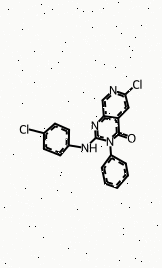 O=c1c2cc(Cl)ncc2nc(Nc2ccc(Cl)cc2)n1-c1ccccc1